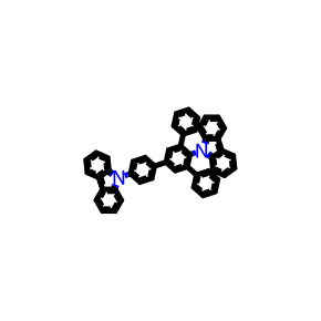 c1ccc(-c2cc(-c3ccc(-n4c5ccccc5c5ccccc54)cc3)cc(-c3ccccc3)c2-n2c3ccccc3c3ccccc32)cc1